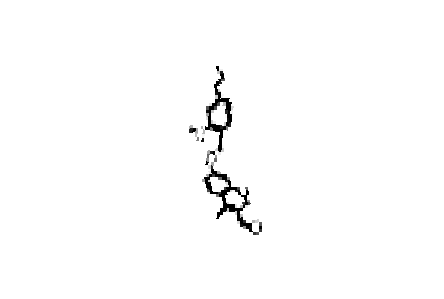 CCCc1ccc(COc2ccc3c(c2)OCC(C=O)=C3C)c(OC)c1